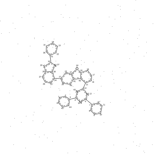 c1ccc(-c2nc(-c3ccccc3)nc(-c3cccc4oc5cc(-c6cccc7sc(-c8ccccc8)nc67)ccc5c34)n2)cc1